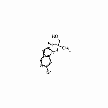 CC(C)(CO)Cn1ccc2cnc(Br)cc21